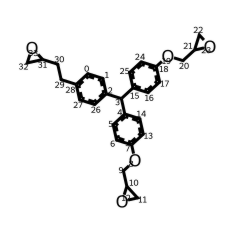 c1cc(C(c2ccc(OCC3CO3)cc2)c2ccc(OCC3CO3)cc2)ccc1CCC1CO1